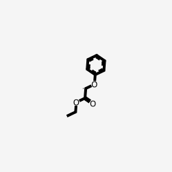 CCOC(=O)[CH]Oc1ccccc1